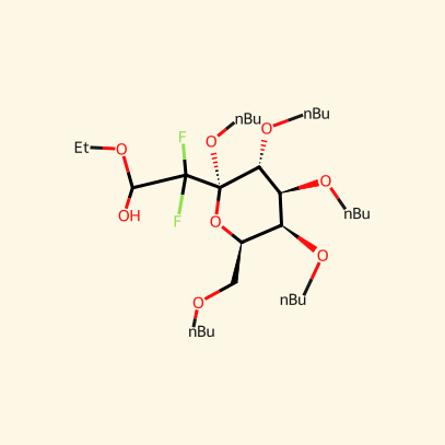 CCCCOC[C@H]1O[C@@](OCCCC)(C(F)(F)C(O)OCC)[C@H](OCCCC)[C@@H](OCCCC)[C@H]1OCCCC